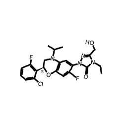 CCn1c(CO)nn(-c2cc3c(cc2F)O[C@@H](c2c(F)cccc2Cl)CN3C(C)C)c1=O